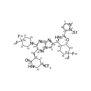 CCn1nccc1C(=O)N[C@H](c1cn2nc(C[C@H]3C[C@@H](C(F)(F)F)CNC3=O)c(N3CCC(F)(F)CC3)nc2n1)C1CCC(F)(F)CC1